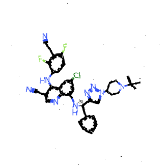 CC(C)(C)N1CCC(n2cc([C@@H](Nc3cc(Cl)cc4c(Nc5ccc(F)c(C#N)c5F)c(C#N)cnc34)c3ccccc3)nn2)CC1